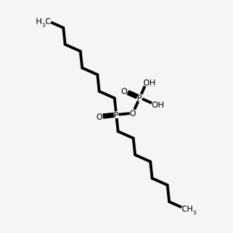 CCCCCCCCP(=O)(CCCCCCCC)OP(=O)(O)O